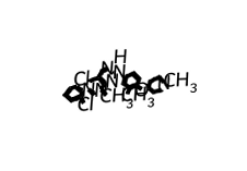 Cc1cc(Nc2ncc3c(n2)N(C)CN(c2c(Cl)cccc2Cl)C3)ccc1OC1CCN(C)CC1